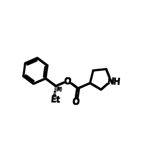 CC[C@@H](OC(=O)C1CCNC1)c1ccccc1